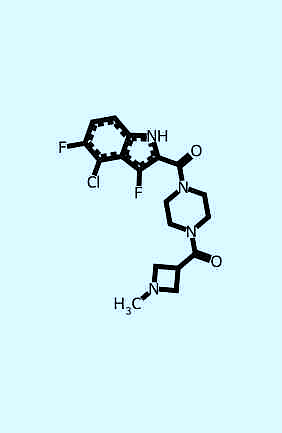 CN1CC(C(=O)N2CCN(C(=O)c3[nH]c4ccc(F)c(Cl)c4c3F)CC2)C1